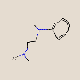 CC(=O)N(C)CCN(C)c1ccccc1